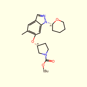 Cc1cc2cnn([C@H]3CCCCO3)c2cc1O[C@@H]1CCN(C(=O)OC(C)(C)C)C1